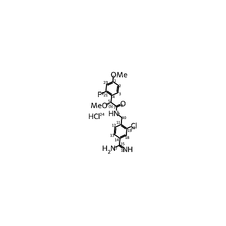 COc1ccc([C@H](OC)C(=O)NCc2ccc(C(=N)N)cc2Cl)c(F)c1.Cl